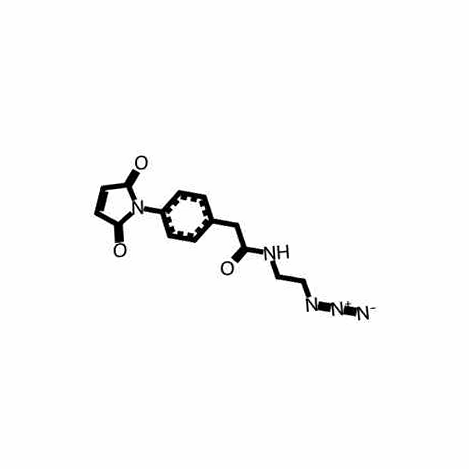 [N-]=[N+]=NCCNC(=O)Cc1ccc(N2C(=O)C=CC2=O)cc1